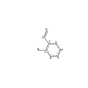 C=Cc1ccccc1C